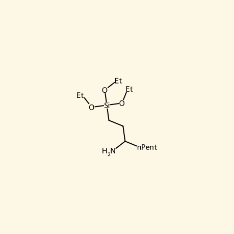 CCCCCC(N)CC[Si](OCC)(OCC)OCC